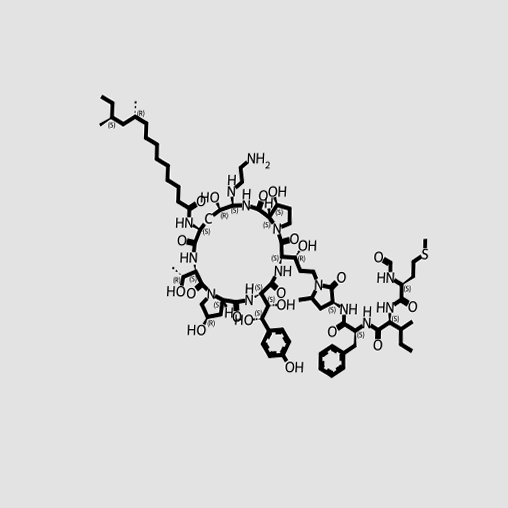 CCC(C)[C@H](NC(=O)[C@H](CCSC)NC=O)C(=O)N[C@@H](Cc1ccccc1)C(=O)N[C@H]1CC(C)N(CC[C@@H](O)[C@@H]2NC(=O)[C@H]([C@H](O)[C@@H](O)c3ccc(O)cc3)NC(=O)[C@@H]3C[C@@H](O)CN3C(=O)[C@H]([C@@H](C)O)NC(=O)[C@@H](NC(=O)CCCCCCCC[C@@H](C)C[C@@H](C)CC)C[C@@H](O)[C@@H](NCCN)NC(=O)[C@@H]3[C@@H](O)CCN3C2=O)C1=O